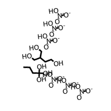 CCCC(O)(O)O.O=[N+]([O-])O.O=[N+]([O-])O.O=[N+]([O-])O.O=[N+]([O-])O.O=[N+]([O-])O.O=[N+]([O-])O.OCCC(CO)CO